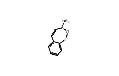 Np1ccc2ccccc2oo1